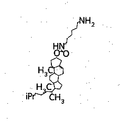 CC(C)CCC[C@@H](C)C1CCC2C3CC=C4C[C@@H](OC(=O)NCCCCCCN)CC[C@]4(C)C3CC[C@@]21C